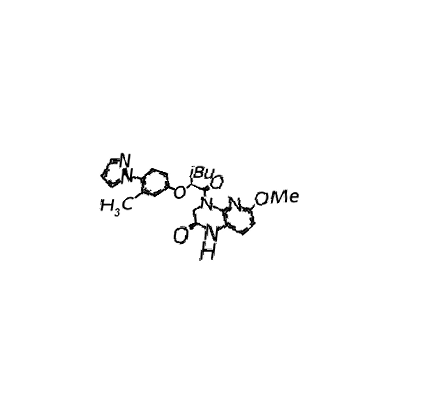 CCC(C)C(Oc1ccc(-n2cccn2)c(C)c1)C(=O)N1CC(=O)Nc2ccc(OC)nc21